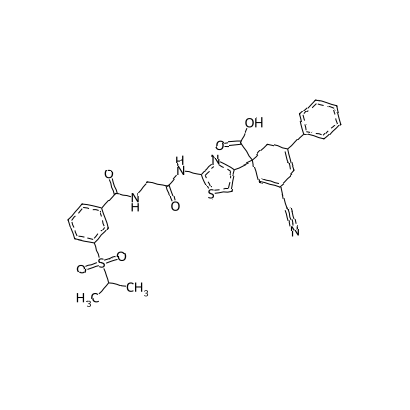 CC(C)S(=O)(=O)c1cccc(C(=O)NCC(=O)Nc2nc(C3(C(=O)O)C=C(C#N)C=C(c4ccccc4)C3)cs2)c1